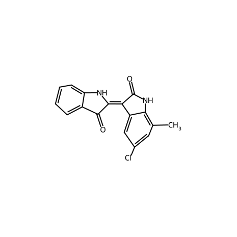 Cc1cc(Cl)cc2c1NC(=O)C2=C1Nc2ccccc2C1=O